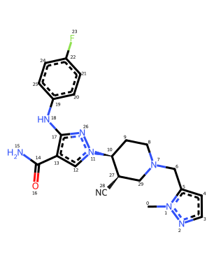 Cn1nccc1CN1CC[C@H](n2cc(C(N)=O)c(Nc3ccc(F)cc3)n2)[C@H](C#N)C1